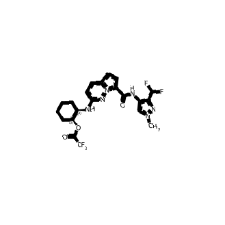 Cn1cc(NC(=O)c2ccc3ccc(N[C@@H]4CCCC[C@@H]4OC(=O)C(F)(F)F)nn23)c(C(F)F)n1